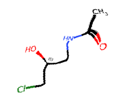 CC(=O)NC[C@H](O)CCl